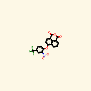 O=C1OC(=O)c2ccc(Oc3ccc(C(F)(F)F)cc3[N+](=O)[O-])c3cccc1c23